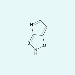 b1[nH]oc2ccnc1-2